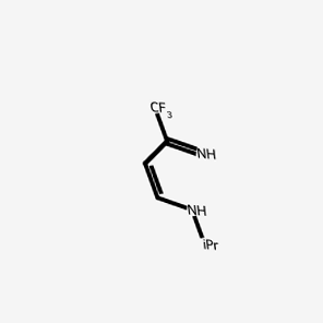 CC(C)N/C=C\C(=N)C(F)(F)F